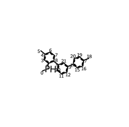 CPc1cc(C)ccc1-c1cccc(-c2ccc(C)cc2)c1